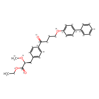 CCOC(=O)[C@H](Cc1ccc(C(=O)CCCOc2ccc(-c3ccccc3)cc2)cc1)OC